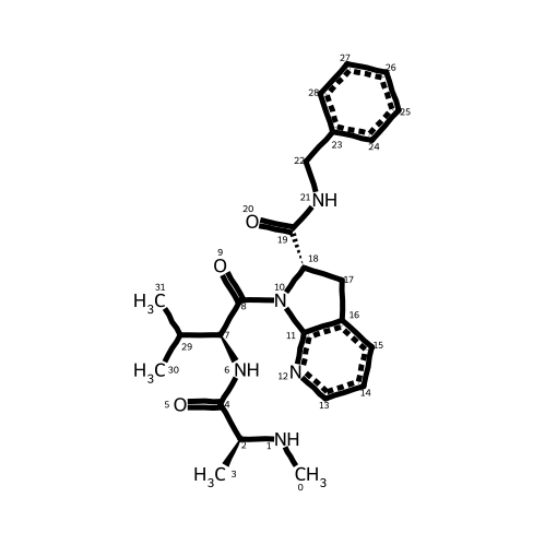 CN[C@@H](C)C(=O)N[C@H](C(=O)N1c2ncccc2C[C@H]1C(=O)NCc1ccccc1)C(C)C